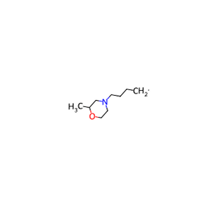 [CH2]CCCN1CCOC(C)C1